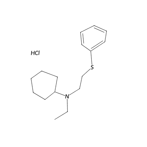 CCN(CCSc1ccccc1)C1CCCCC1.Cl